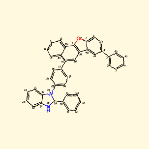 c1ccc(-c2ccc3oc4c5ccccc5c(-c5ccc(N6c7ccccc7NC6c6ccccc6)cc5)cc4c3c2)cc1